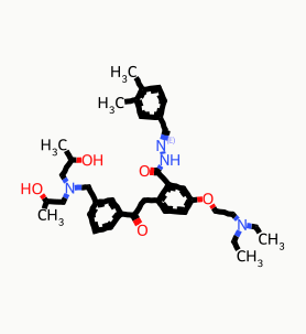 CCN(CC)CCOc1ccc(CC(=O)c2cccc(CN(CC(C)O)CC(C)O)c2)c(C(=O)N/N=C/c2ccc(C)c(C)c2)c1